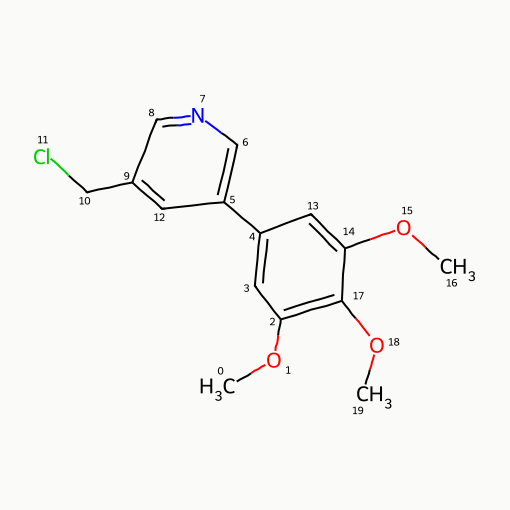 COc1cc(-c2cncc(CCl)c2)cc(OC)c1OC